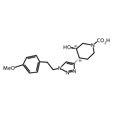 COc1ccc(CCn2cc([C@H]3CCN(C(=O)O)C[C@@H]3O)nn2)cc1